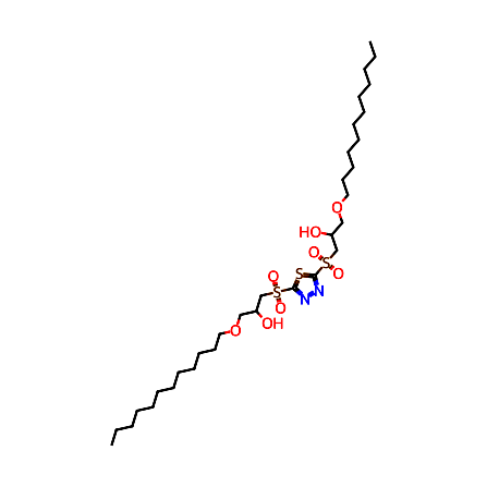 CCCCCCCCCCCCOCC(O)CS(=O)(=O)c1nnc(S(=O)(=O)CC(O)COCCCCCCCCCCCC)s1